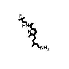 C=C(NCCC(C)(C)F)c1ccc(CCC(C)CCN)c(C)n1